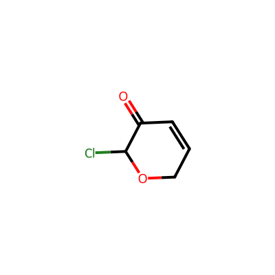 O=C1C=CCOC1Cl